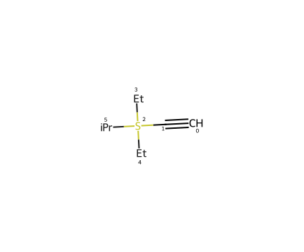 C#CS(CC)(CC)C(C)C